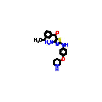 CCc1cccc(C(=O)c2sc(Nc3ccc(OC4CCCNC4)cc3)nc2N)c1